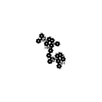 c1ccc(-c2nc(-n3c4ccccc4c4c5c(ccc6c5c5cc7[nH]c8cc(-c9cccc(-c%10nc(-n%11c%12cc%13c(cc%12c%12c%14c(ccc%15sc%16ccccc%16c%15%14)ccc%12%11)[nH]c%11ccccc%11%13)nc%11ccccc%10%11)c9)ccc8c7cc5n6-c5ccccc5)ccc43)nc3ccccc23)cc1